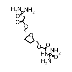 NP(N)(=O)CC(=O)OC[C@H]1CC[C@@H](COC(=O)NP(N)(N)=O)O1